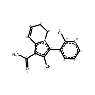 N#Cc1c(C(N)=O)c2n(c1-c1cccnc1Cl)CCC=C2